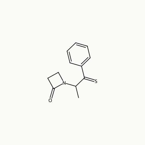 CC(C(=S)c1ccccc1)N1CCC1=O